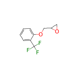 FC(F)(F)c1ccccc1OCC1CO1